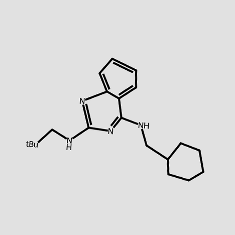 CC(C)(C)CNc1nc(NCC2CCCCC2)c2ccccc2n1